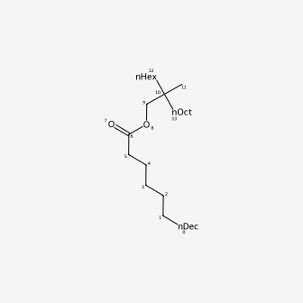 CCCCCCCCCCCCCCCC(=O)OCC(C)(CCCCCC)CCCCCCCC